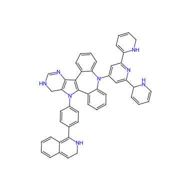 C1=CCNC(c2cc(N3c4ccccc4-c4c5c(n(-c6ccc(C7=c8ccccc8=CCN7)cc6)c4-c4ccccc43)CNC=N5)cc(C3C=CC=CN3)n2)=C1